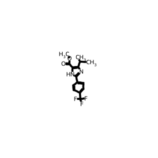 COC(=O)c1[nH]c(-c2ccc(C(F)(F)F)cc2)nc1C(C)C